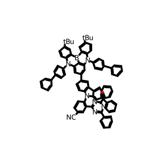 CC(C)(C)c1ccc2c(c1)B1c3cc(C(C)(C)C)ccc3N(c3ccc(-c4ccccc4)cc3)c3cc(-c4ccc5c(c4)c4ccc(-c6ccccc6)cc4n5-c4ccc(C#N)cc4-c4nc(-c5ccccc5)nc(-c5ccccc5)n4)cc(c31)N2c1ccc(-c2ccccc2)cc1